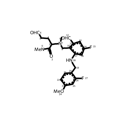 CNC(=O)C(CCC=O)N(C)Cc1c(C=O)cc(F)cc1NCc1ccc(OC)cc1F